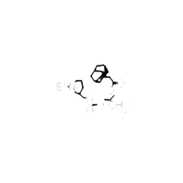 [CH2]C(COC(=O)CC12CC3CC(CC(C3)C1)C2)COC(=O)OCC1CCCN(CC)C1